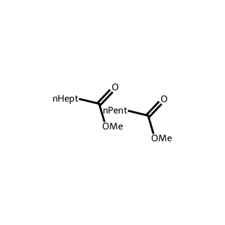 CCCCCC(=O)OC.CCCCCCCC(=O)OC